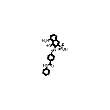 Nc1cccc2cc(S(=O)(=O)O)c(N=Nc3ccc(C(=O)Nc4ccccc4)cc3)c(O)c12